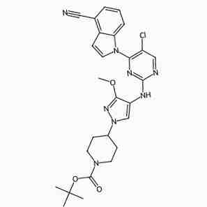 COc1nn(C2CCN(C(=O)OC(C)(C)C)CC2)cc1Nc1ncc(Cl)c(-n2ccc3c(C#N)cccc32)n1